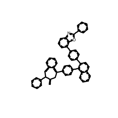 C=C1CC(c2ccc(-c3c(-c4ccc(-c5cccc6nc(-c7ccccc7)oc56)cc4)ccc4ccccc34)cc2)=c2ccccc2=CC1c1ccccc1